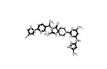 Cc1cc(Nc2cc(C)[nH]n2)nc(N2CCC3(CC2)N=C(N)N(C(C)c2ccc(-n4cc(F)cn4)nc2)C3=O)n1